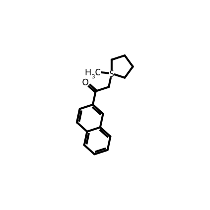 CS1(CC(=O)c2ccc3ccccc3c2)CCCC1